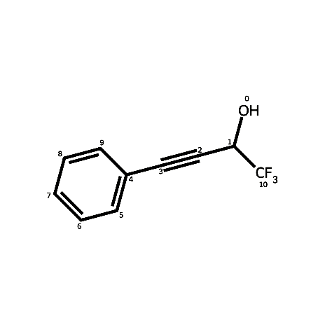 OC(C#Cc1ccccc1)C(F)(F)F